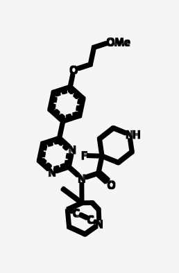 COCCOc1ccc(-c2ccnc(N(C(=O)C3(F)CCNCC3)C3(C)CCN4CCC3CC4)n2)cc1